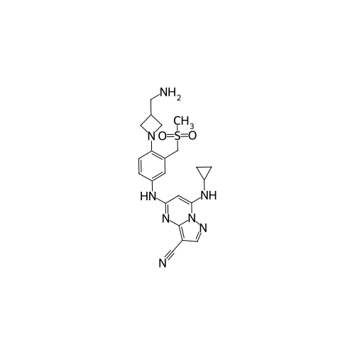 CS(=O)(=O)Cc1cc(Nc2cc(NC3CC3)n3ncc(C#N)c3n2)ccc1N1CC(CN)C1